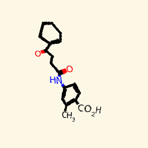 Cc1cc(NC(=O)CCC(=O)C2=CCCCC2)ccc1C(=O)O